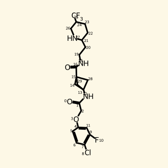 O=C(COc1ccc(Cl)c(F)c1)NC12CC(C(=O)NCCC3CCC(C(F)(F)F)CN3)(C1)C2